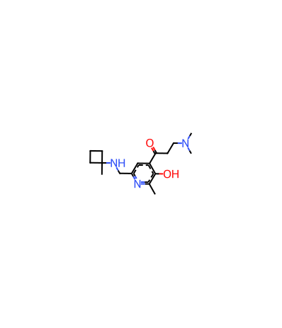 Cc1nc(CNC2(C)CCC2)cc(C(=O)CCN(C)C)c1O